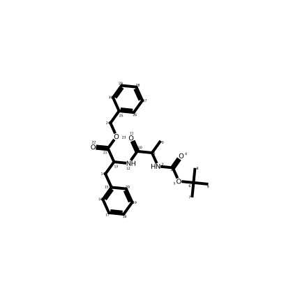 CC(NC(=O)OC(C)(C)C)C(=O)NC(Cc1ccccc1)C(=O)OCc1ccccc1